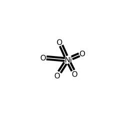 [O]=[Ni](=[O])(=[O])(=[O])=[O]